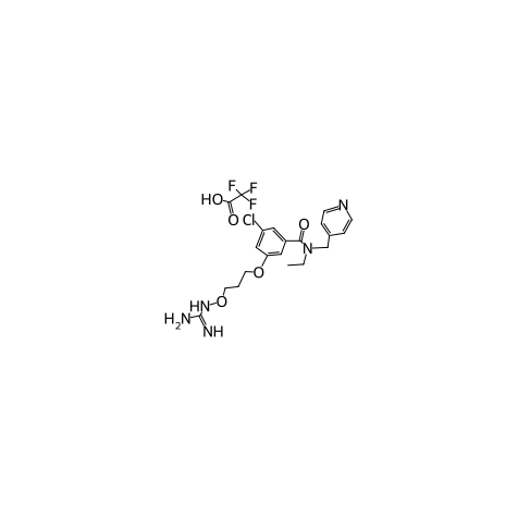 CCN(Cc1ccncc1)C(=O)c1cc(Cl)cc(OCCCONC(=N)N)c1.O=C(O)C(F)(F)F